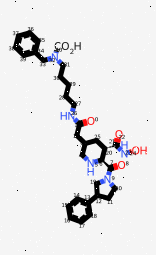 O=C(CC1CN[C@H](C(=O)N2CCC(c3ccccc3)C2)[C@@H](C(=O)NO)C1)NCCCCCN(Cc1ccccc1)C(=O)O